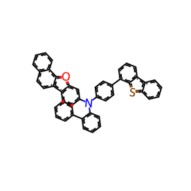 c1ccc(-c2ccccc2N(c2ccc(-c3cccc4c3sc3ccccc34)cc2)c2ccc3c(c2)oc2c4ccccc4ccc32)cc1